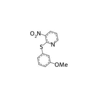 COc1cccc(Sc2ncccc2[N+](=O)[O-])c1